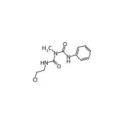 CN(C(=O)NCCCl)C(=O)Nc1ccccc1